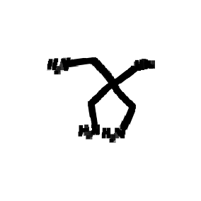 CC(C)(C)C(CN)(CN)CN